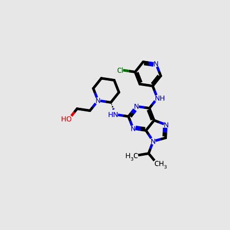 CC(C)n1cnc2c(Nc3cncc(Cl)c3)nc(N[C@H]3CCCCN3CCO)nc21